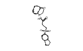 O=C(CCS(=O)(=O)c1ccc2c(c1)CCC2)N[C@H]1COc2ccccc21